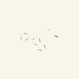 C#CC1CN(c2nc(-c3ccncc3)nc3cnccc23)CCN1